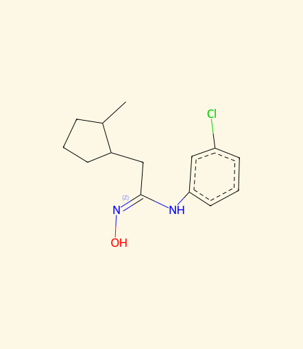 CC1CCCC1C/C(=N/O)Nc1cccc(Cl)c1